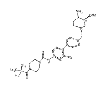 CO[C@H]1CN(Cc2ccc(-n3ccc(NC(=O)N4CCN(C(=O)C(C)(C)N)CC4)nc3=O)cc2)CCC1N